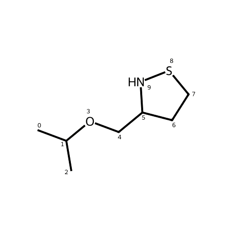 CC(C)OCC1CCSN1